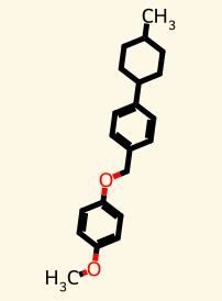 COc1ccc(OCc2ccc(C3CCC(C)CC3)cc2)cc1